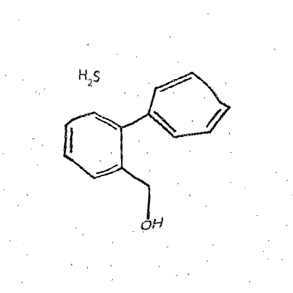 OCc1ccccc1-c1ccccc1.S